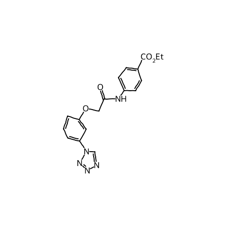 CCOC(=O)c1ccc(NC(=O)COc2cccc(-n3cnnn3)c2)cc1